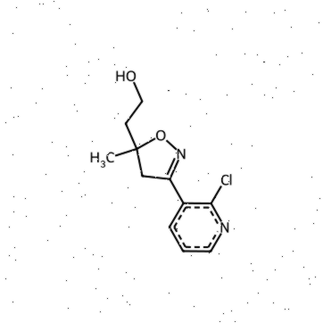 CC1(CCO)CC(c2cccnc2Cl)=NO1